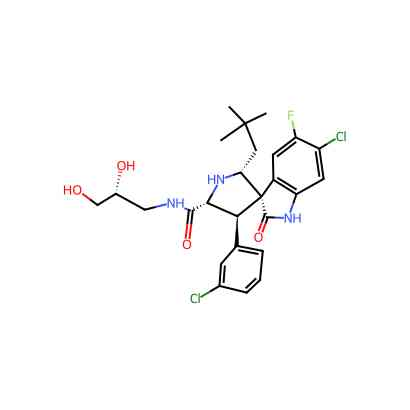 CC(C)(C)C[C@H]1N[C@@H](C(=O)NC[C@@H](O)CO)[C@H](c2cccc(Cl)c2)[C@@]12C(=O)Nc1cc(Cl)c(F)cc12